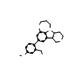 CCc1cc(OC)ccc1-c1cc2c3c(c1)[C@@H]1CNCC[C@@H]1N3CCCS2